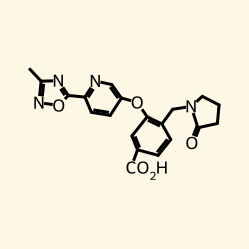 Cc1noc(-c2ccc(Oc3cc(C(=O)O)ccc3CN3CCCC3=O)cn2)n1